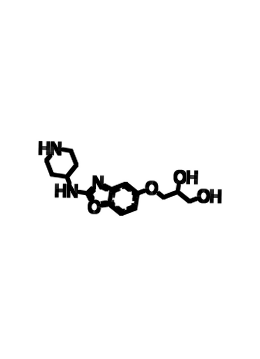 OCC(O)COc1ccc2oc(NC3CCNCC3)nc2c1